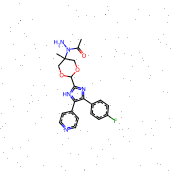 CC(=O)N(N)C1(C)COC(c2nc(-c3ccc(F)cc3)c(-c3ccncc3)[nH]2)OC1